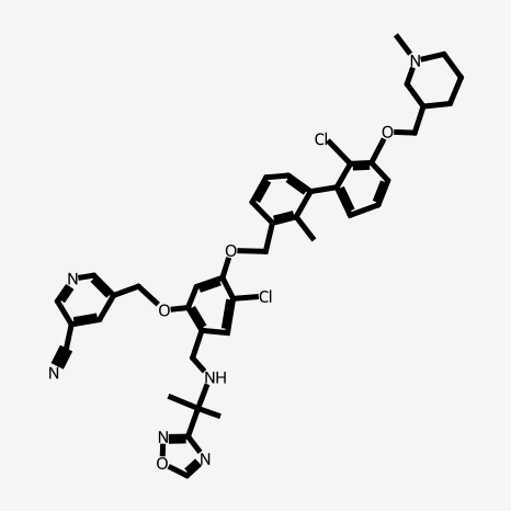 Cc1c(COc2cc(OCc3cncc(C#N)c3)c(CNC(C)(C)c3ncon3)cc2Cl)cccc1-c1cccc(OCC2CCCN(C)C2)c1Cl